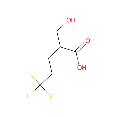 O=C(O)C(CO)CCC(F)(F)F